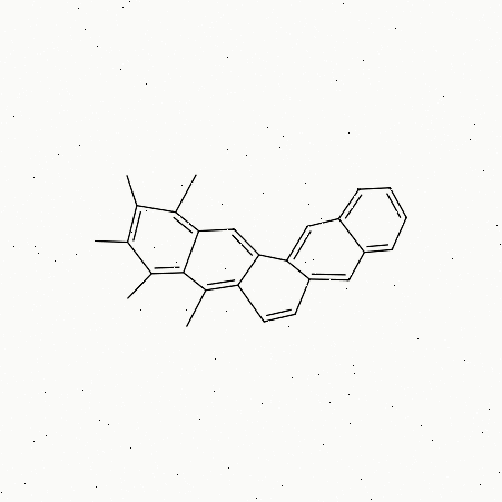 Cc1c(C)c(C)c2c(C)c3ccc4cc5ccccc5cc4c3cc2c1C